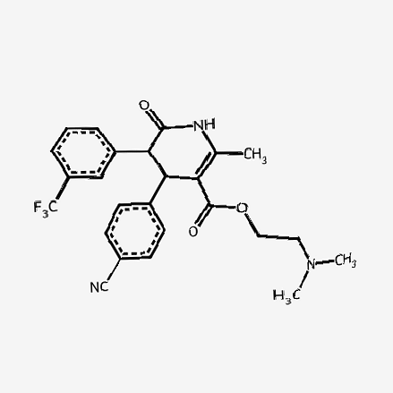 CC1=C(C(=O)OCCN(C)C)C(c2ccc(C#N)cc2)C(c2cccc(C(F)(F)F)c2)C(=O)N1